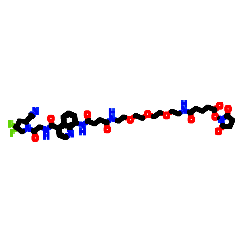 N#CC1CC(F)(F)CN1C(=O)CNC(=O)c1ccnc2c(NC(=O)CCC(=O)NCCOCCOCCOCCNC(=O)CCCC(=O)ON3C(=O)CCC3=O)cccc12